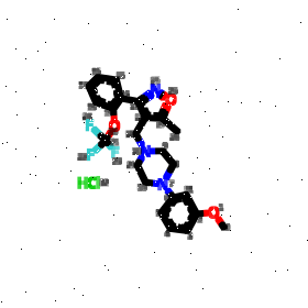 COc1cccc(N2CCN(Cc3c(-c4ccccc4OC(F)(F)F)noc3C)CC2)c1.Cl